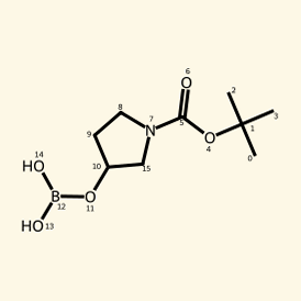 CC(C)(C)OC(=O)N1CCC(OB(O)O)C1